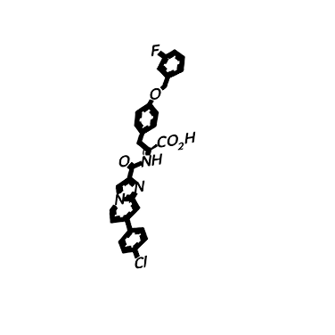 O=C(N[C@@H](Cc1ccc(OCc2cccc(F)c2)cc1)C(=O)O)c1cn2ccc(-c3ccc(Cl)cc3)cc2n1